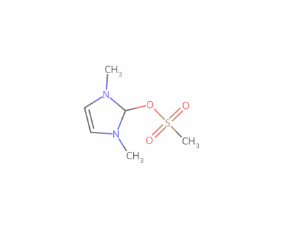 CN1C=CN(C)C1OS(C)(=O)=O